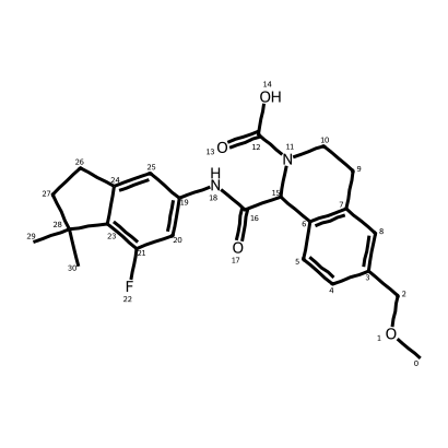 COCc1ccc2c(c1)CCN(C(=O)O)C2C(=O)Nc1cc(F)c2c(c1)CCC2(C)C